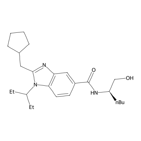 CCCC[C@H](CO)NC(=O)c1ccc2c(c1)nc(CC1CCCC1)n2C(CC)CC